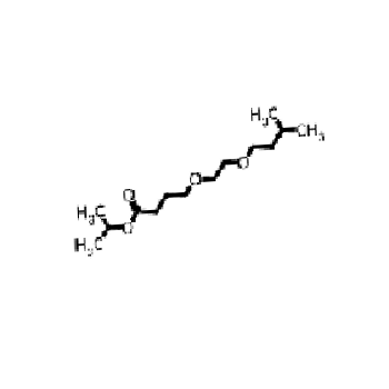 CC(C)CCOCCOCCCC(=O)OC(C)C